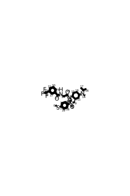 CSc1ccc(S(=O)(=O)C[C@@H]2C[C@H](N(C)C(C)C)CC[C@@H]2NC(=O)CNC(=O)c2cccc(C(F)(F)F)c2)cc1